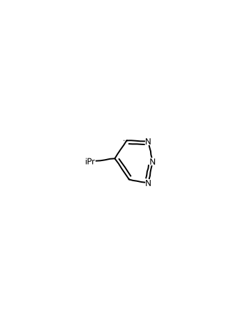 CC(C)c1[c]nnnc1